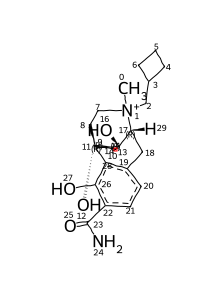 C[N+]1(CC2CCC2)CC[C@]23C[C@@H](O)C=C[C@@]2(O)[C@H]1Cc1ccc(C(N)=O)c(O)c13